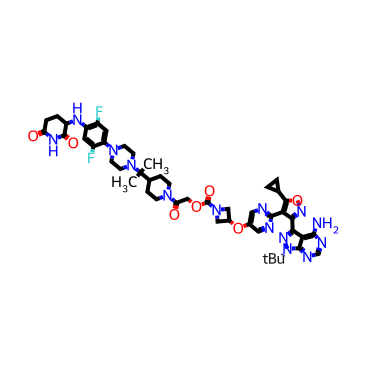 CC(C)(C1CCN(C(=O)COC(=O)N2CC(Oc3cnc(-c4c(-c5nn(C(C)(C)C)c6ncnc(N)c56)noc4C4CC4)nc3)C2)CC1)N1CCN(c2cc(F)c(NC3CCC(=O)NC3=O)cc2F)CC1